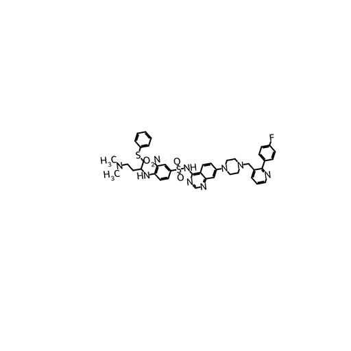 CN(C)CCC(CSc1ccccc1)Nc1ccc(S(=O)(=O)Nc2ncnc3cc(N4CCN(Cc5cccnc5-c5ccc(F)cc5)CC4)ccc23)cc1[N+](=O)[O-]